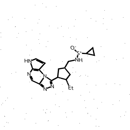 CCC1CC(CN[S+]([O-])C2CC2)CC1c1nnc2cnc3[nH]ccc3n12